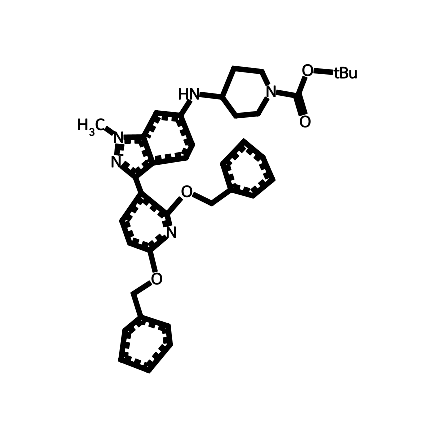 Cn1nc(-c2ccc(OCc3ccccc3)nc2OCc2ccccc2)c2ccc(NC3CCN(C(=O)OC(C)(C)C)CC3)cc21